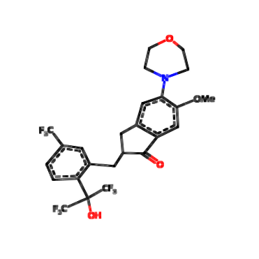 COc1cc2c(cc1N1CCOCC1)CC(Cc1cc(C(F)(F)F)ccc1C(O)(C(F)(F)F)C(F)(F)F)C2=O